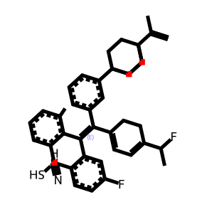 C=C(C)C12CCC(c3cccc(/C(C4=CC=C(C(C)F)CC4)=C(/c4cc(F)ccc4NS)c4c(C)cccc4C#N)c3)(CC1)CC2